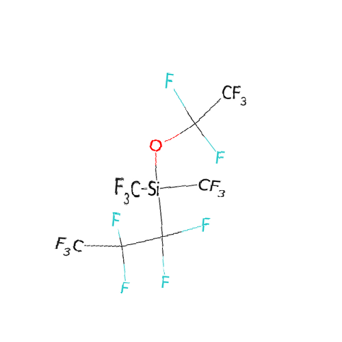 FC(F)(F)C(F)(F)O[Si](C(F)(F)F)(C(F)(F)F)C(F)(F)C(F)(F)C(F)(F)F